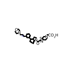 O=C(O)CN1CCc2nc(C(=O)N3CCc4c(-c5cccc(/C=C/CN6CCOCC6)c5)cccc43)sc2C1